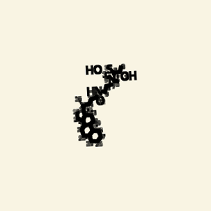 CC(O)C([N+](C)(C)CCCNC(=O)CC[C@@H](C)[C@H]1CCC2C3CCC4CCCC[C@]4(C)C3CC[C@@]21C)S(=O)(=O)O